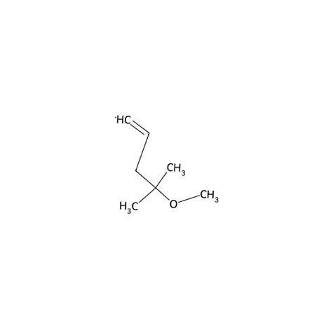 [CH]=CCC(C)(C)OC